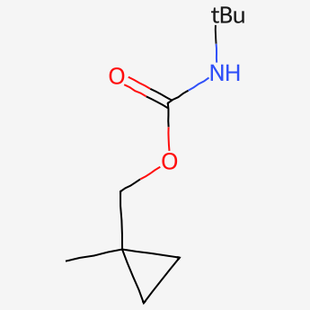 CC1(COC(=O)NC(C)(C)C)CC1